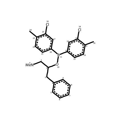 CNCC(Cc1ccccc1)OB(c1ccc(C)c(Cl)c1)c1ccc(C)c(Cl)c1